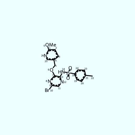 COc1ccc(COc2nc(Br)cnc2NS(=O)(=O)c2ccc(C)cc2)cn1